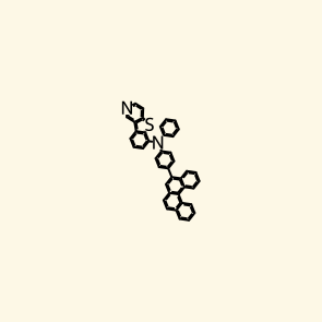 c1ccc(N(c2ccc(-c3cc4ccc5ccccc5c4c4ccccc34)cc2)c2cccc3c2sc2ccncc23)cc1